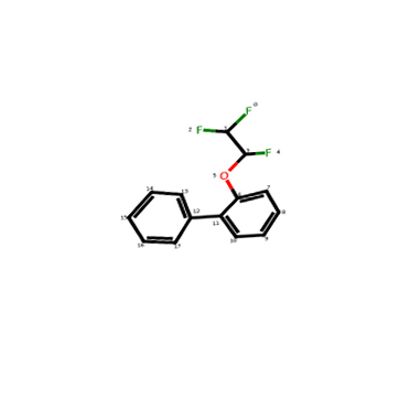 FC(F)C(F)Oc1ccccc1-c1ccccc1